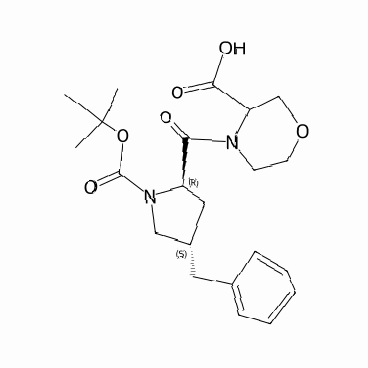 CC(C)(C)OC(=O)N1C[C@@H](Cc2ccccc2)C[C@@H]1C(=O)N1CCOCC1C(=O)O